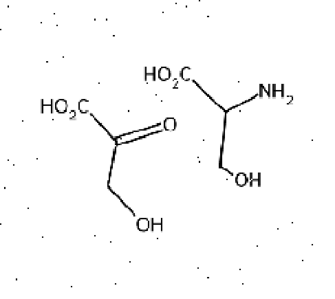 NC(CO)C(=O)O.O=C(O)C(=O)CO